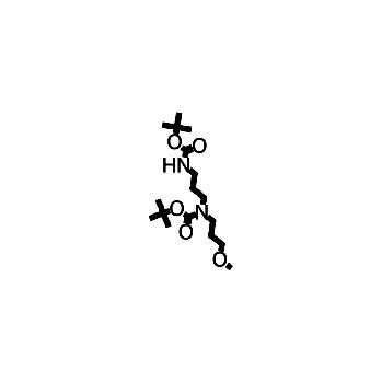 COCCCN(CCCNC(=O)OC(C)(C)C)C(=O)OC(C)(C)C